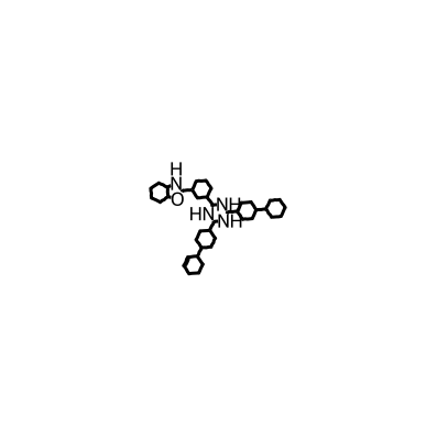 C1=CC(C2CCC(C3NC(C4CCC(C5CCCCC5)CC4)NC(C4CCCC(C5NC6CCCCC6O5)C4)N3)CC2)CCC1